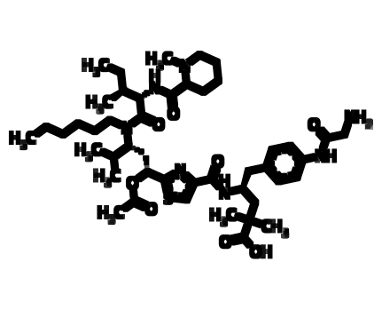 CCCCCCN(C(=O)[C@@H](NC(=O)C1CCCCN1C)[C@@H](C)CC)[C@H](C[C@@H](OC(C)=O)c1nc(C(=O)N[C@@H](Cc2ccc(NC(=O)CN)cc2)CC(C)(C)C(=O)O)cs1)C(C)C